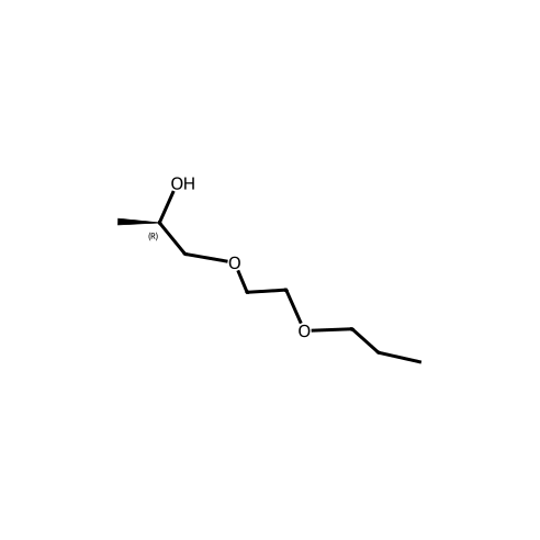 CCCOCCOC[C@@H](C)O